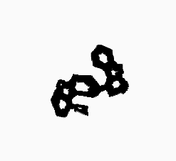 Clc1cccc2oc3ccc(-c4cccc5sc6ccccc6c45)cc3c12